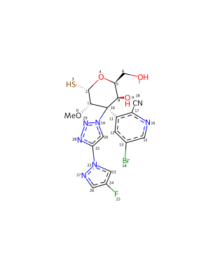 CO[C@@H]1[C@H](S)O[C@@H](CO)[C@@H](O)[C@@]1(c1cc(Br)cnc1C#N)n1cc(-n2cc(F)cn2)nn1